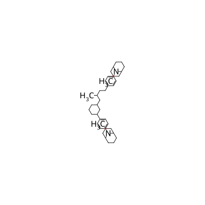 CC(CCc1ccc(N2C3CCCC2CC(C)C3)cc1)CC1CCCC(c2ccc(N3C4CCCC3CC(C)C4)cc2)C1